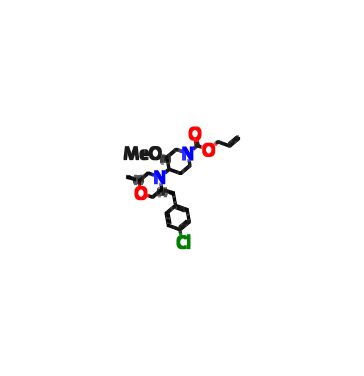 C=CCOC(=O)N1CCC(N2C[C@H](C)OC[C@@H]2Cc2ccc(Cl)cc2)[C@H](OC)C1